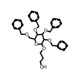 OCCCOC1OC(COCc2ccccc2)C(OCc2ccccc2)C(OCc2ccccc2)C1OCc1ccccc1